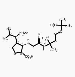 CCCCC(C)(C)OCCC(C)(C)NC(=O)CO[C@H]1C([C@H](NC(C)=O)C(CC)CC)CC[C@@H]1C(=O)O